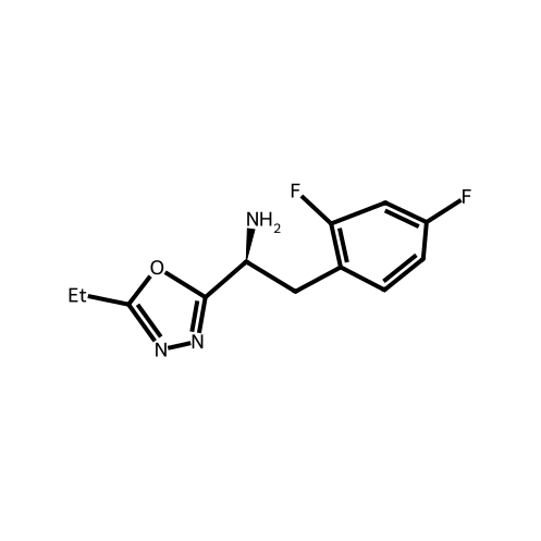 CCc1nnc([C@@H](N)Cc2ccc(F)cc2F)o1